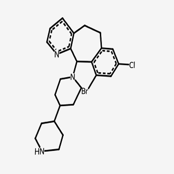 Clc1cc(Br)c2c(c1)CCc1cccnc1C2N1CCC(C2CCNCC2)CC1